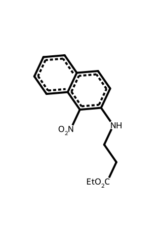 CCOC(=O)CCNc1ccc2ccccc2c1[N+](=O)[O-]